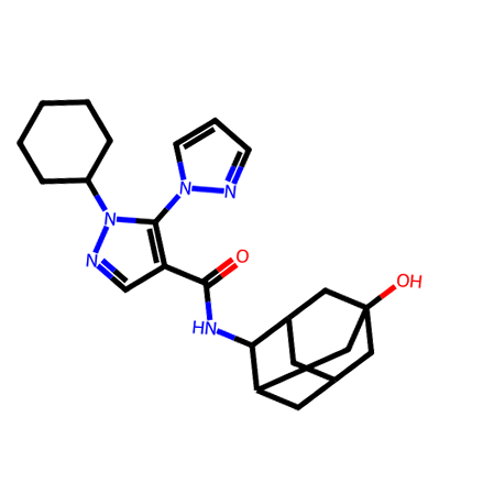 O=C(NC1C2CC3CC1CC(O)(C3)C2)c1cnn(C2CCCCC2)c1-n1cccn1